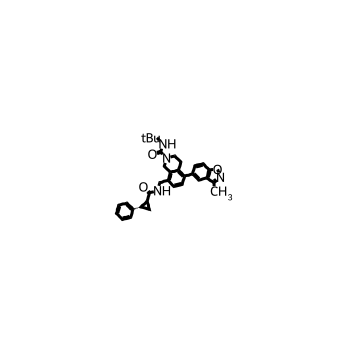 Cc1noc2ccc(-c3ccc(CNC(=O)C4C[C@@H]4c4ccccc4)c4c3CCN(C(=O)NC(C)(C)C)C4)cc12